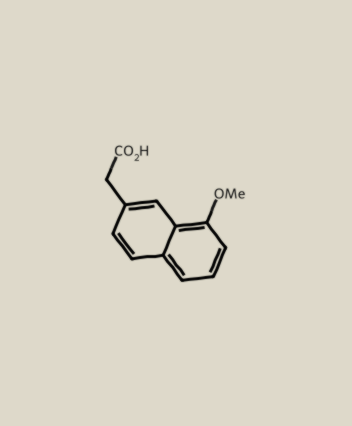 COc1cccc2ccc(CC(=O)O)cc12